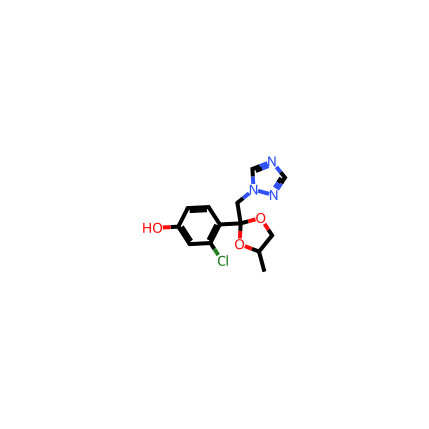 CC1COC(Cn2cncn2)(c2ccc(O)cc2Cl)O1